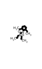 C=CCN(CC=C)C(=O)Nc1c(CC)cccc1CC